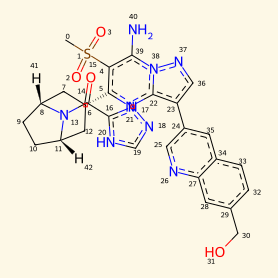 CS(=O)(=O)c1c([C@H]2C[C@H]3CC[C@@H](C2)N3C(=O)c2nnc[nH]2)nc2c(-c3cnc4cc(CO)ccc4c3)cnn2c1N